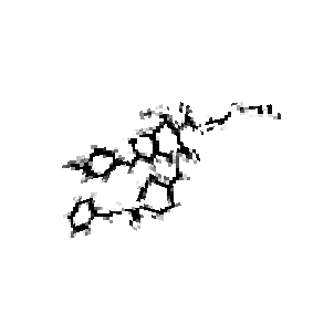 COCCNC(=O)c1c(O)c2ncc(Cc3ccc(F)cc3)cc2n(CC2CCN(C(=O)OCc3ccccc3)CC2)c1=O